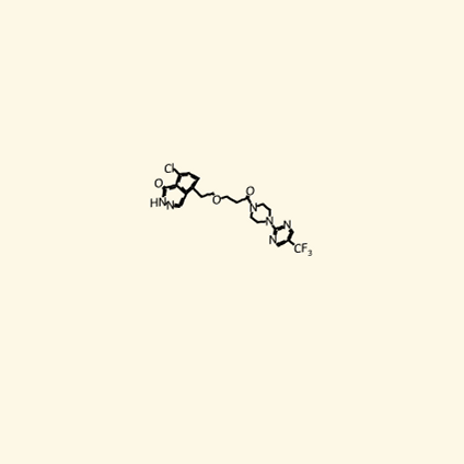 O=C(CCOCCc1ccc(Cl)c2c(=O)[nH]ncc12)N1CCN(c2ncc(C(F)(F)F)cn2)CC1